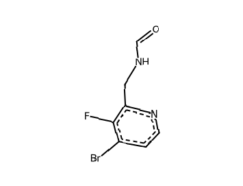 O=CNCc1nccc(Br)c1F